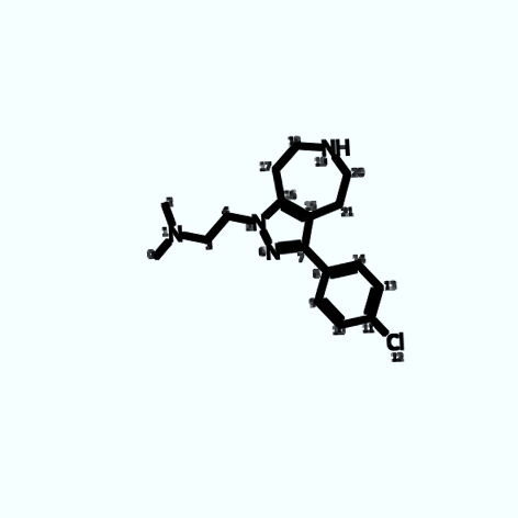 CN(C)CCn1nc(-c2ccc(Cl)cc2)c2c1CCNCC2